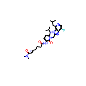 CC(C)Cc1ncc(F)c2nc(Cn3c(CC(C)C)ccc(NC(=O)CCC/C=C/C(=O)N(C)C)c3=O)[nH]c12